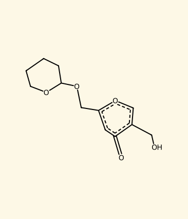 O=c1cc(COC2CCCCO2)occ1CO